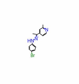 C/C(=N\Nc1ccc(Br)cc1)c1ccnc(C)c1